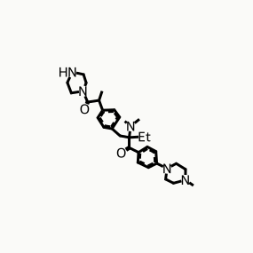 CCC(Cc1ccc(C(C)C(=O)N2CCNCC2)cc1)(C(=O)c1ccc(N2CCN(C)CC2)cc1)N(C)C